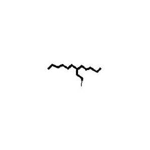 CCCCCCC(CCI)CCCCC